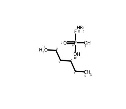 Br.CCCCCC.O=P(O)(O)F